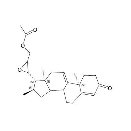 CC(=O)OCC1OC1[C@H]1[C@H](C)CC2C3CCC4=CC(=O)CC[C@]4(C)C3=CC[C@@]21C